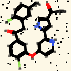 COC(=O)c1c[nH]c(-c2cc(Oc3cc(C(=O)Cc4cc(C)ccc4F)ccc3F)ccn2)c1